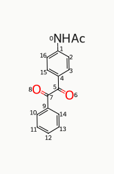 CC(=O)Nc1ccc(C(=O)C(=O)c2ccccc2)cc1